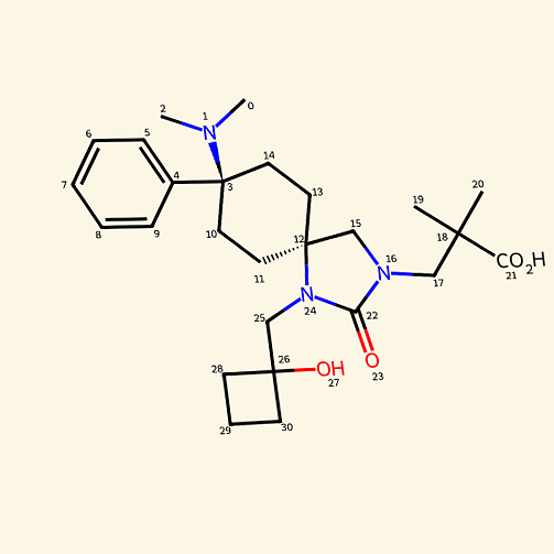 CN(C)[C@]1(c2ccccc2)CC[C@]2(CC1)CN(CC(C)(C)C(=O)O)C(=O)N2CC1(O)CCC1